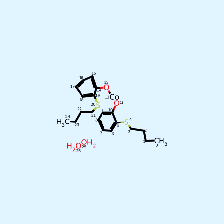 CCCCSc1ccccc1[O][Co][O]c1ccccc1SCCCC.O.O